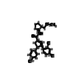 COC[C@@H]1CCCN1NC(=O)C1=NN(c2ccc(Cl)cc2Cl)C(c2ccc(Cl)cc2)C1